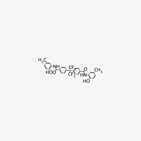 Cc1ccc(O)c(NC(=O)c2ccc(C(c3ccc(C(=O)Nc4cc(C)ccc4O)cc3)(C(F)(F)F)C(F)(F)F)cc2)c1